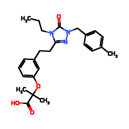 CCCn1c(CCc2cccc(OC(C)(C)C(=O)O)c2)nn(Cc2ccc(C)cc2)c1=O